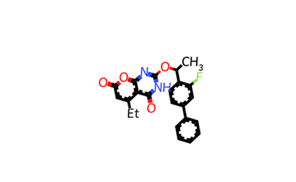 CCc1cc(=O)oc2nc(OC(C)c3ccc(-c4ccccc4)cc3F)[nH]c(=O)c12